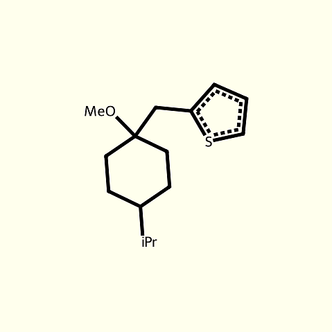 COC1(Cc2cccs2)CCC(C(C)C)CC1